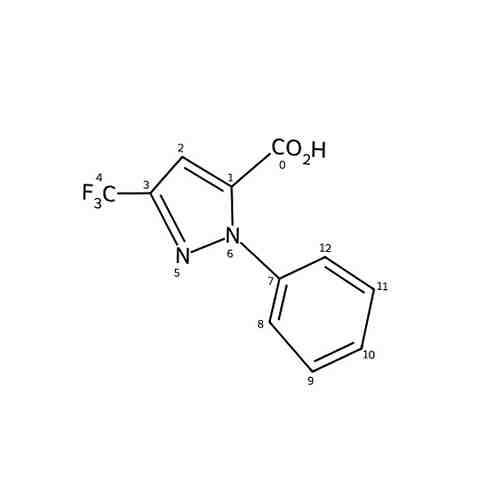 O=C(O)c1cc(C(F)(F)F)nn1-c1ccccc1